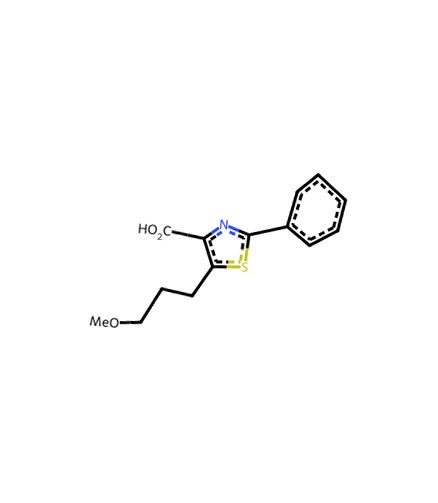 COCCCc1sc(-c2ccccc2)nc1C(=O)O